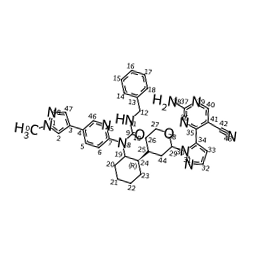 Cn1cc(-c2ccc(N(C(=O)NCc3ccccc3)C3CCCC[C@@H]3C3CCOC(n4nccc4-c4nc(N)ncc4C#N)C3)nc2)cn1